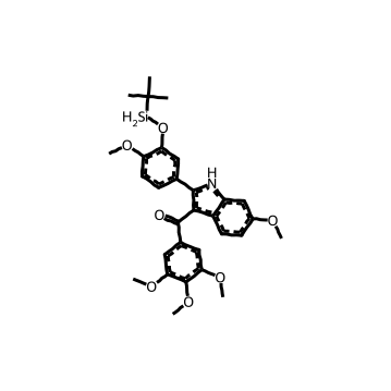 COc1ccc2c(C(=O)c3cc(OC)c(OC)c(OC)c3)c(-c3ccc(OC)c(O[SiH2]C(C)(C)C)c3)[nH]c2c1